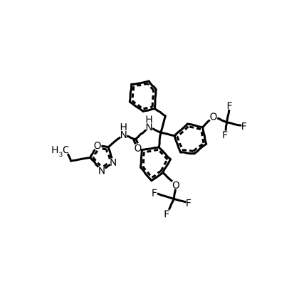 CCc1nnc(NC(=O)NC(Cc2ccccc2)(c2cccc(OC(F)(F)F)c2)c2cccc(OC(F)(F)F)c2)o1